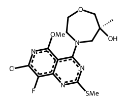 COc1nc(Cl)c(F)c2nc(SC)nc(N3CCOC[C@@](C)(O)C3)c12